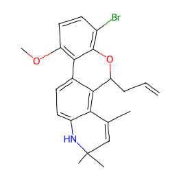 C=CCC1Oc2c(Br)ccc(OC)c2-c2ccc3c(c21)C(C)=CC(C)(C)N3